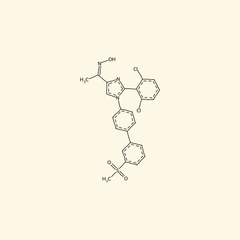 C/C(=N/O)c1cn(-c2ccc(-c3cccc(S(C)(=O)=O)c3)cc2)c(-c2c(Cl)cccc2Cl)n1